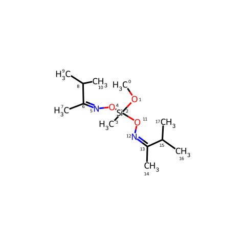 CO[Si](C)(ON=C(C)C(C)C)ON=C(C)C(C)C